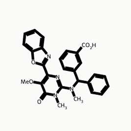 COc1c(-c2nc3ccccc3o2)nc(N(C)C(c2ccccc2)c2cccc(C(=O)O)c2)n(C)c1=O